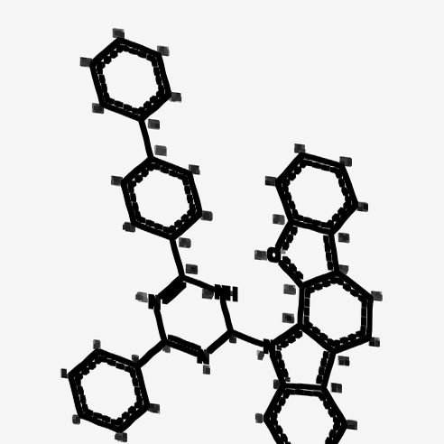 c1ccc(C2=NC(n3c4ccccc4c4ccc5c6ccccc6oc5c43)NC(c3ccc(-c4ccccc4)cc3)=N2)cc1